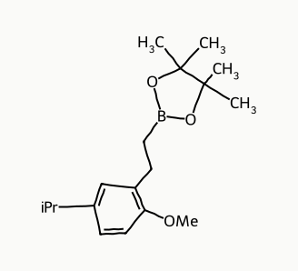 COc1ccc(C(C)C)cc1CCB1OC(C)(C)C(C)(C)O1